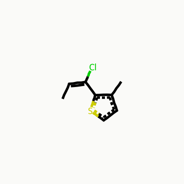 C/C=C(/Cl)c1sccc1C